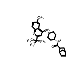 BC(C)(P)c1cc(N[C@H]2CC[C@@H](NC(=O)C3CC4C=CC3C4)CC2)c2cc(C)ccc2n1